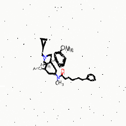 COc1cccc([C@@]23CCN(CC4CC4)C[C@H]2C(OC(C)=O)C[C@H](N(C)C(=O)CCCCCc2ccccc2)C3)c1